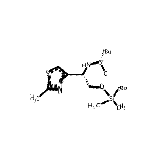 Cc1nc([C@@H](CO[Si](C)(C)C(C)(C)C)N[S@@+]([O-])C(C)(C)C)cs1